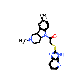 Cc1ccc2c(c1)C1CN(C)CCC1N2C(=O)CSc1nc2cccnc2[nH]1